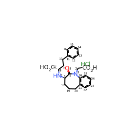 Cl.O=C(O)CN1C(=O)[C@H](N[C@@H](CCc2ccccc2)C(=O)O)CCCc2ccccc21